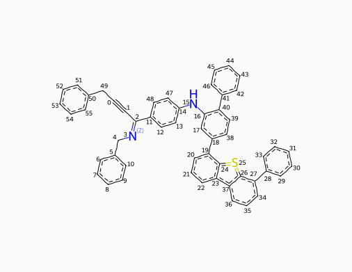 C(#C/C(=N\Cc1ccccc1)c1ccc(Nc2cc(-c3cccc4c3sc3c(-c5ccccc5)cccc34)ccc2-c2ccccc2)cc1)Cc1ccccc1